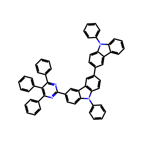 c1ccc(-c2nc(-c3ccc4c(c3)c3cc(-c5ccc6c(c5)c5ccccc5n6-c5ccccc5)ccc3n4-c3ccccc3)nc(-c3ccccc3)c2-c2ccccc2)cc1